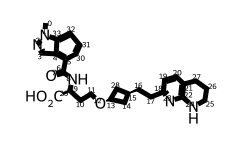 Cn1ncc2c(C(=O)N[C@@H](CCO[C@H]3C[C@H](CCc4ccc5c(n4)NCCC5)C3)C(=O)O)cccc21